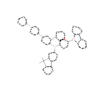 CC1(C)c2ccccc2-c2ccc(N(c3ccc(-n4c5ccccc5c5ccccc54)cc3)c3ccc(-c4ccc(-c5ccccc5)cc4)cc3-c3ccccc3)cc21